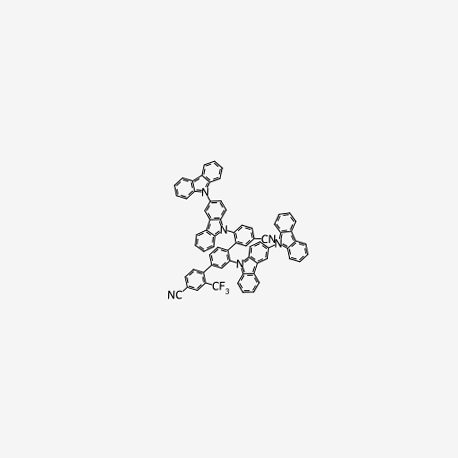 N#Cc1ccc(-n2c3ccccc3c3cc(-n4c5ccccc5c5ccccc54)ccc32)c(-c2ccc(-c3ccc(C#N)cc3C(F)(F)F)cc2-n2c3ccccc3c3cc(-n4c5ccccc5c5ccccc54)ccc32)c1